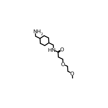 COCCOCCC(=O)NCC1CCC(CN)CC1